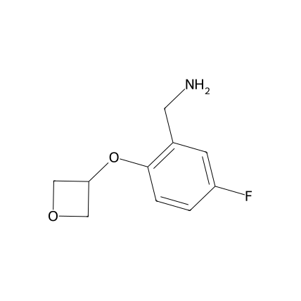 NCc1cc(F)ccc1OC1COC1